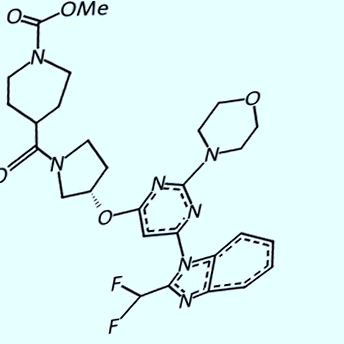 COC(=O)N1CCC(C(=O)N2CC[C@H](Oc3cc(-n4c(C(F)F)nc5ccccc54)nc(N4CCOCC4)n3)C2)CC1